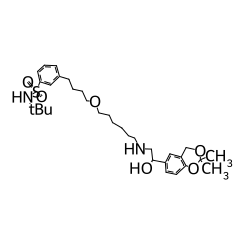 CC(C)(C)NS(=O)(=O)c1cccc(CCCCOCCCCCCNC[C@H](O)c2ccc3c(c2)COC(C)(C)O3)c1